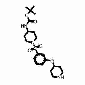 CC(C)(C)OC(=O)NC1CCN(S(=O)(=O)c2cccc(OC3CCNCC3)c2)CC1